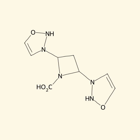 O=C(O)N1C(N2C=CON2)CC1N1C=CON1